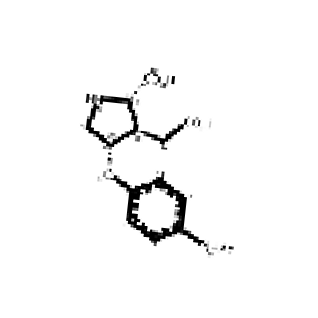 CC(=O)Nc1ccc(O[C@@H]2CN[C@H](C(=O)O)[C@H]2CC(=O)O)cc1